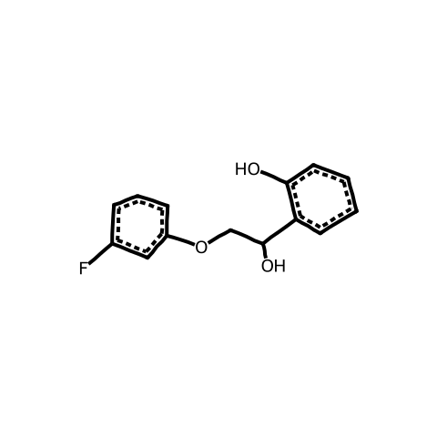 Oc1ccccc1C(O)COc1cccc(F)c1